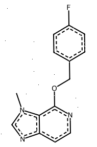 Cn1cnc2ccnc(OCc3ccc(F)cc3)c21